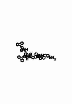 C[C@]1(C(=O)NC(=O)[C@@]2(C)CCC[C@]3(C)c4cc(NC(=O)C(CCCCNC(=O)OCC5c6ccccc6-c6ccccc65)NC(=O)OCC5c6ccccc6-c6ccccc65)ccc4CC[C@@H]23)CCC[C@]2(C)c3cc(N)ccc3CC[C@@H]12